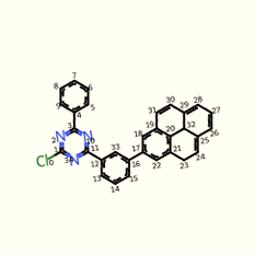 Clc1nc(-c2ccccc2)nc(-c2cccc(-c3cc4c5c(c3)CC=C3C=CC=C(C=C4)C35)c2)n1